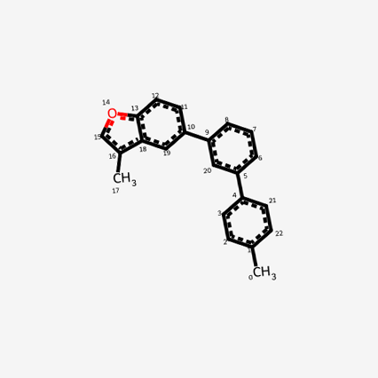 Cc1ccc(-c2cccc(-c3ccc4occ(C)c4c3)c2)cc1